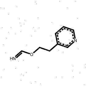 N=COCCc1cccnc1